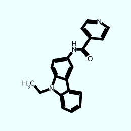 CCn1c2ccccc2c2cc(NC(=O)c3ccncc3)ccc21